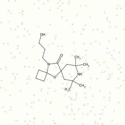 CC1(C)CC2(CC(C)(C)N1)OC1(CCC1)N(CCCO)C2=O